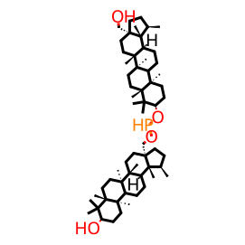 C[C@@H]1CC[C@]2(CO)CC[C@]3(C)[C@H](CCC4[C@@]5(C)CC[C@H](OPOC[C@]67CC[C@@H](C)[C@]6(C)[C@H]6CCC8[C@@]9(C)CC[C@H](O)C(C)(C)[C@]9(C)CC[C@@]8(C)[C@]6(C)CC7)C(C)(C)[C@]5(C)CC[C@]43C)[C@@]12C